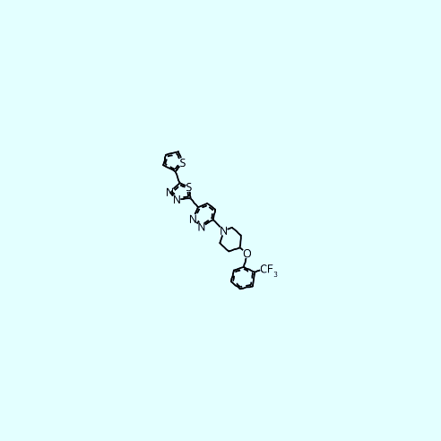 FC(F)(F)c1ccccc1OC1CCN(c2ccc(-c3nnc(-c4cccs4)s3)nn2)CC1